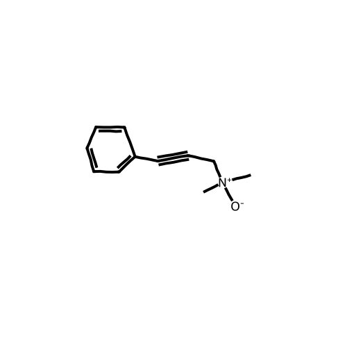 C[N+](C)([O-])CC#Cc1ccccc1